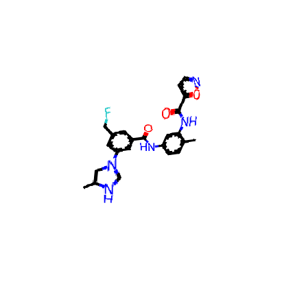 Cc1ccc(NC(=O)c2cc(CF)cc(N3CNC(C)C3)c2)cc1NC(=O)c1ccno1